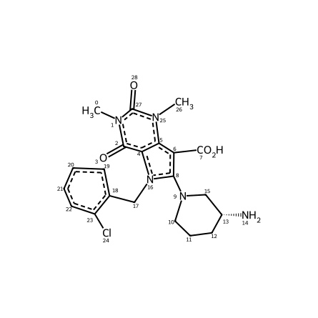 Cn1c(=O)c2c(c(C(=O)O)c(N3CCC[C@@H](N)C3)n2Cc2ccccc2Cl)n(C)c1=O